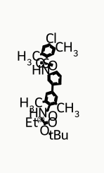 CC[C@H](NC(=O)c1c(C)cc(-c2cccc(NS(=O)(=O)c3cc(C)c(Cl)cc3C)c2)cc1C)C(=O)OC(C)(C)C